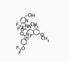 COc1cc(F)c(-c2c(NC(=O)c3ccc(OC(F)F)cc3)c(=O)n(-c3nc(CO)ccc3C(F)(F)F)n2C)c(F)c1